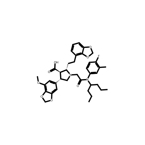 CCCC(CCC)N(C(=O)CN1C[C@H](c2cc(OC)c3c(c2)OCO3)[C@@H](C(=O)O)[C@@H]1CCc1cccc2c1OCO2)c1ccc(F)c(C)c1